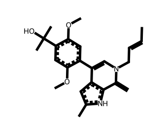 C=C1c2[nH]c(C)cc2C(c2cc(OC)c(C(C)(C)O)cc2OC)=CN1C/C=C/C